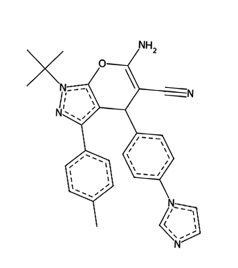 Cc1ccc(-c2nn(C(C)(C)C)c3c2C(c2ccc(-n4ccnc4)cc2)C(C#N)=C(N)O3)cc1